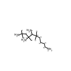 CC(C)(N)CC(C)(N)C(N)C(C)(C)CCCCN